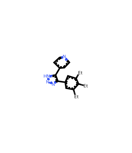 CCc1cc(-c2nn[nH]c2-c2ccncc2)cc(CC)c1CC